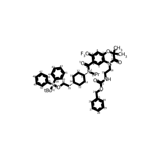 CC(C)N(C(=O)c1cc2c(cc1C(F)(F)F)OC(C)(C)C(=O)N2CCNC(=O)OCc1ccccc1)[C@H]1CC[C@@H](CCO[Si](c2ccccc2)(c2ccccc2)C(C)(C)C)CC1